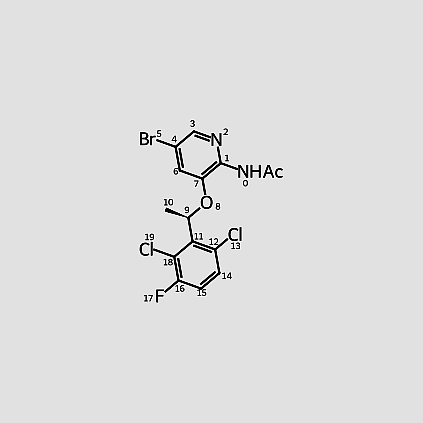 CC(=O)Nc1ncc(Br)cc1O[C@H](C)c1c(Cl)ccc(F)c1Cl